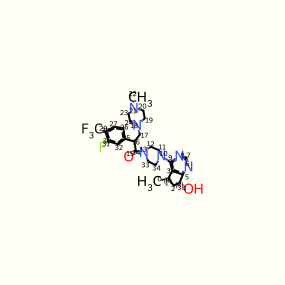 C[C@@H]1C[C@@H](O)c2ncnc(N3CCN(C(=O)C(CN4CCN(C)CC4)c4ccc(C(F)(F)F)c(F)c4)CC3)c21